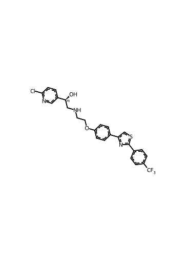 O[C@@H](CNCCOc1ccc(-c2csc(-c3ccc(C(F)(F)F)cc3)n2)cc1)c1ccc(Cl)nc1